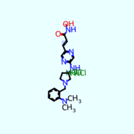 CN(C)c1ccccc1CN1CC[C@@H](Nc2cnc(/C=C/C(=O)NO)cn2)C1.Cl.Cl.Cl